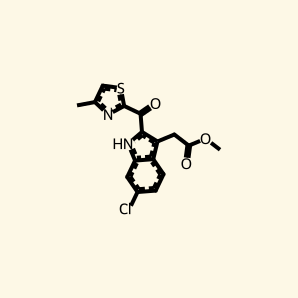 COC(=O)Cc1c(C(=O)c2nc(C)cs2)[nH]c2cc(Cl)ccc12